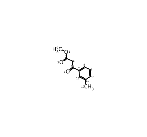 COC(=O)CC(=O)c1cccc(C)c1